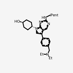 CCCC(C)Nc1ncc2c(-c3ccc(CN(CC)CC)cc3)cn([C@H]3CC[C@H](O)CC3)c2n1